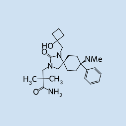 CN[C@]1(c2ccccc2)CC[C@@]2(CC1)CN(CC(C)(C)C(N)=O)C(=O)N2CC1(O)CCC1